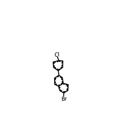 Clc1ccc(-c2ccc3cc(Br)ccc3c2)cc1